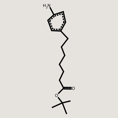 CC(C)(C)OC(=O)CCCCCCc1ccc(N)cc1